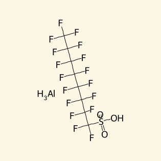 O=S(=O)(O)C(F)(F)C(F)(F)C(F)(F)C(F)(F)C(F)(F)C(F)(F)C(F)(F)C(F)(F)F.[AlH3]